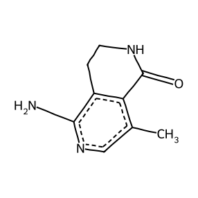 Cc1cnc(N)c2c1C(=O)NCC2